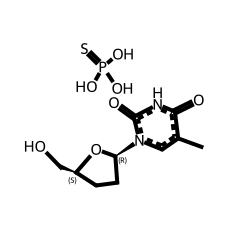 Cc1cn([C@H]2CC[C@@H](CO)O2)c(=O)[nH]c1=O.OP(O)(O)=S